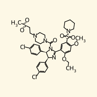 CCOc1cc(OC)c(S(=O)(=O)N2CCCCC2)cc1C1=N[C@@H](c2ccc(Cl)cc2)[C@@H](c2ccc(Cl)cc2)N1C(=O)N1CCN(CCS(C)(=O)=O)CC1